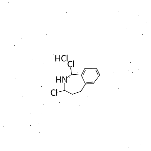 Cl.ClC1CCc2ccccc2C(Cl)N1